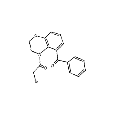 O=C(c1ccccc1)c1cccc2c1N(C(=O)CBr)CCO2